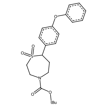 CC(C)(C)OC(=O)N1CCC(c2ccc(Oc3ccccc3)cc2)S(=O)(=O)CC1